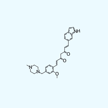 COc1cc(CN2CCN(C)CC2)ccc1C=CC(=O)CC(=O)C=Cc1ccc2cc[nH]c2c1